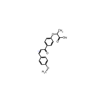 COc1ccc(/C=C\C(=O)c2ccc(OC(C)C(=O)O)cc2)cc1